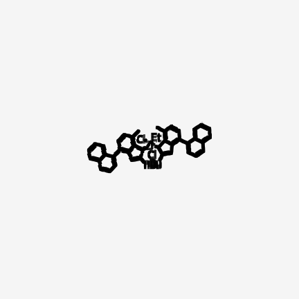 CCCCC1=Cc2c(-c3cccc4ccccc34)ccc(C)c2[CH]1[Zr]([Cl])([Cl])([CH2]C)[CH]1C(CCCC)=Cc2c(-c3cccc4ccccc34)ccc(C)c21